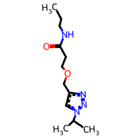 CCCNC(=O)CCOCc1cn(C(C)C)nn1